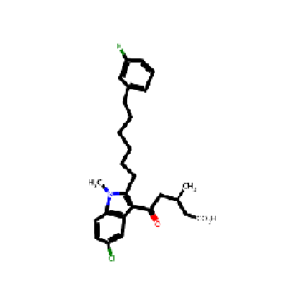 C[C@@H](CC(=O)O)CC(=O)c1c(CCCCCCc2cccc(F)c2)n(C)c2ccc(Cl)cc12